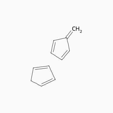 C1=CCC=C1.C=C1C=CC=C1